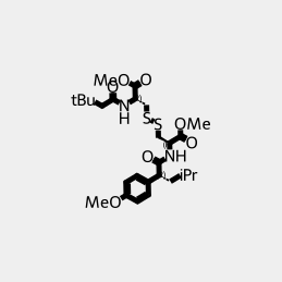 COC(=O)[C@H](CSSC[C@H](NC(=O)[C@H](CC(C)C)c1ccc(OC)cc1)C(=O)OC)NC(=O)CC(C)(C)C